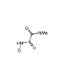 CCNC(=O)C(=O)NC